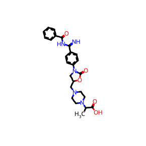 CC(C(=O)O)N1CCN(CC2CN(c3ccc(C(=N)NC(=O)c4ccccc4)cc3)C(=O)O2)CC1